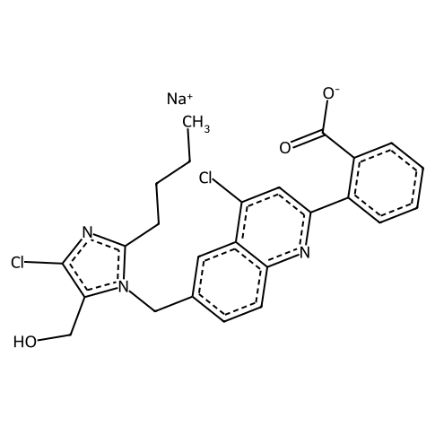 CCCCc1nc(Cl)c(CO)n1Cc1ccc2nc(-c3ccccc3C(=O)[O-])cc(Cl)c2c1.[Na+]